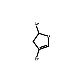 CC(=O)C1CC(Br)=CO1